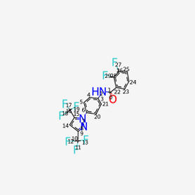 O=C(Nc1ccc(-n2nc(C(F)(F)F)cc2C(F)(F)F)cc1)c1cccc(F)c1F